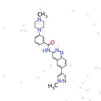 CN1CCN(c2cccc(C(=O)Nc3cc4cc(-c5cnn(C)c5)ccc4nn3)c2)CC1